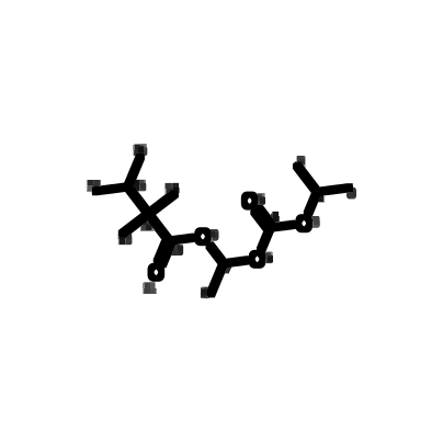 CC(C)OC(=O)OC(C)OC(=O)C(C)(C)C(C)C